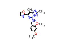 COc1ccc(CNc2nc(-c3ncco3)c(C)c3nc(C)nn23)c(OC)c1